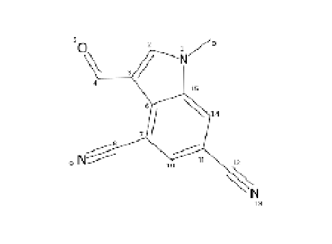 Cn1cc(C=O)c2c(C#N)cc(C#N)cc21